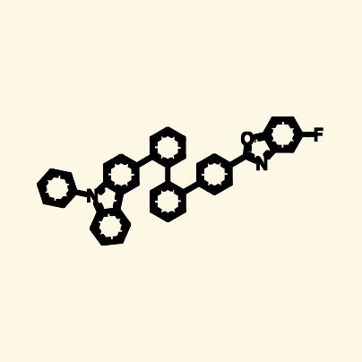 Fc1ccc2oc(-c3ccc(-c4ccccc4-c4ccccc4-c4ccc5c(c4)c4ccccc4n5-c4ccccc4)cc3)nc2c1